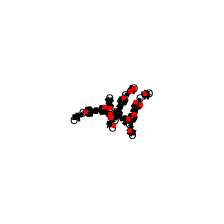 CCC(C)(Cc1cc(C(C)(C)c2ccc(OCC3(C)COC3)cc2)cc(C(C)(CC)Cc2cc(C(C)(C)c3ccc(OCC4(C)COC4)cc3)ccc2OCC2(C)COC2)c1OCC1(C)COC1)c1cc(C(C)(C)c2ccc(OCC3(C)COC3)cc2)ccc1OCC1(C)COC1